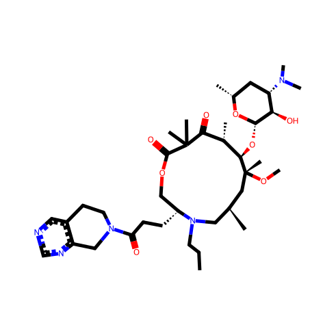 CCCN1C[C@H](C)C[C@@](C)(OC)[C@H](O[C@@H]2O[C@H](C)C[C@H](N(C)C)[C@H]2O)[C@@H](C)C(=O)C(C)(C)C(=O)OC[C@H]1CCC(=O)N1CCc2cncnc2C1